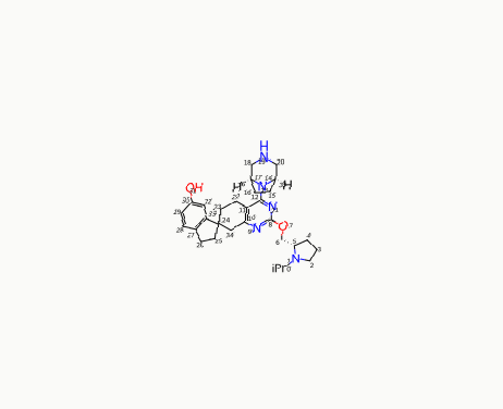 CC(C)N1CCC[C@H]1COc1nc2c(c(N3[C@@H]4CC[C@H]3CNC4)n1)CCC1(CCc3ccc(O)cc31)C2